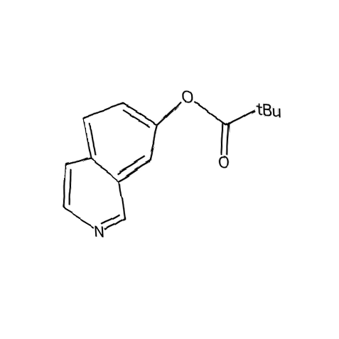 CC(C)(C)C(=O)Oc1ccc2ccncc2c1